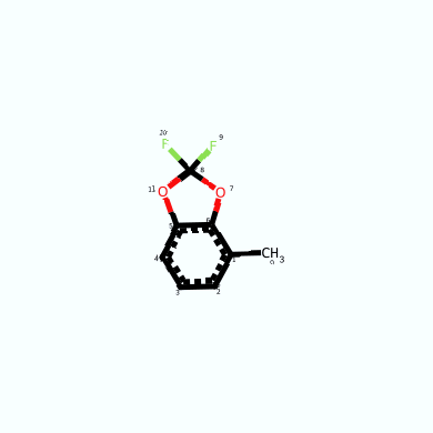 Cc1[c]ccc2c1OC(F)(F)O2